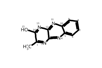 Cc1nc2nc3ccccc3nc2nc1O